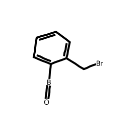 O=Bc1ccccc1CBr